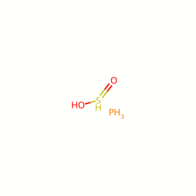 O=[SH]O.P